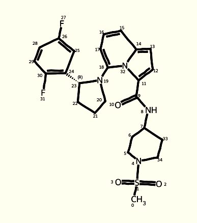 CS(=O)(=O)N1CCC(NC(=O)c2ccc3cccc(N4CCC[C@@H]4c4cc(F)ccc4F)n23)CC1